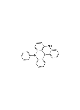 c1ccc(N2c3ccccc3B3c4ccccc4Nc4cccc2c43)cc1